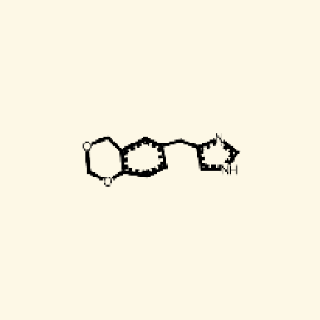 c1nc(Cc2ccc3c(c2)COCO3)c[nH]1